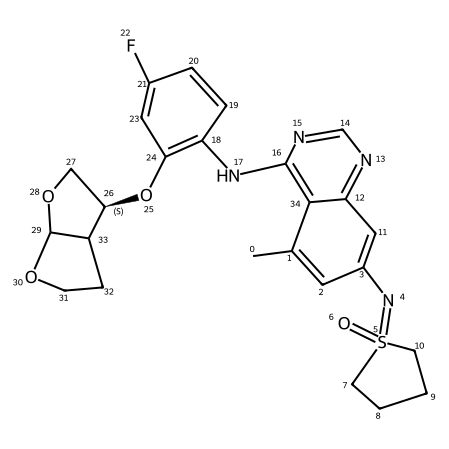 Cc1cc(N=S2(=O)CCCC2)cc2ncnc(Nc3ccc(F)cc3O[C@@H]3COC4OCCC43)c12